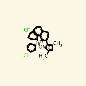 C[O][Ti+2]([c]1ccccc1)([c]1ccccc1)[c]1c(C2=C(C)C=C(C)C2)ccc2ccccc12.[Cl-].[Cl-]